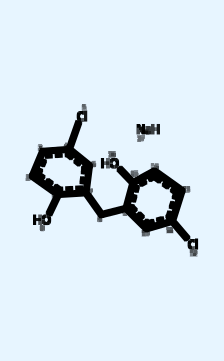 Oc1ccc(Cl)cc1Cc1cc(Cl)ccc1O.[NaH]